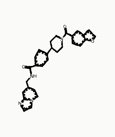 O=C(NCc1ccn2ccnc2c1)c1ccc(C2CCN(C(=O)c3ccc4occc4c3)CC2)cc1